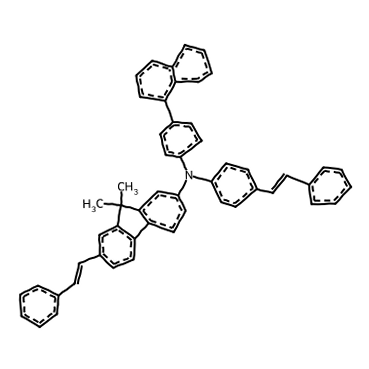 CC1(C)c2cc(/C=C/c3ccccc3)ccc2-c2ccc(N(c3ccc(/C=C/c4ccccc4)cc3)c3ccc(-c4cccc5ccccc45)cc3)cc21